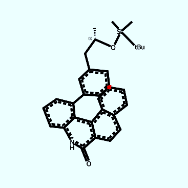 C[C@@H](Cc1cccc(-c2cccc3[nH]c(=O)c4ccc5ccccc5c4c23)c1)O[Si](C)(C)C(C)(C)C